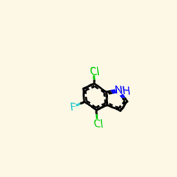 Fc1cc(Cl)c2[nH]ccc2c1Cl